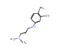 CN(C)CCCNc1ccc([N+](=O)[O-])c(C#N)c1